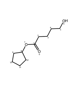 O=C(CCCCO)OC1CCCC1